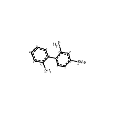 CSc1ccc(-c2ccccc2N)c(N)c1